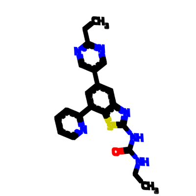 CCNC(=O)Nc1nc2cc(-c3cnc(CC)nc3)cc(-c3ccccn3)c2s1